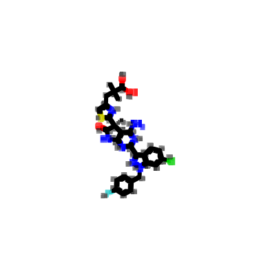 CC(C)(Cc1csc([C@]2(C)C(=O)Nc3nc(-c4nn(Cc5ccc(F)cc5)c5cc(Cl)ccc45)nc(N)c32)n1)C(=O)O